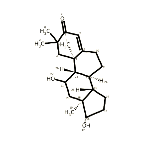 CC1(C)C[C@@]2(C)C(=CC1=O)CC[C@H]1[C@@H]3CC[C@H](O)[C@@]3(C)CC(O)[C@@H]12